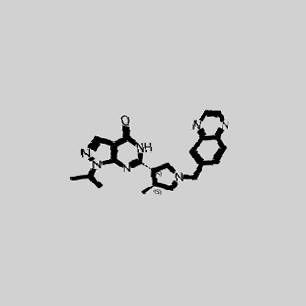 CC(C)n1ncc2c(=O)[nH]c([C@@H]3CN(Cc4ccc5nccnc5c4)C[C@H]3C)nc21